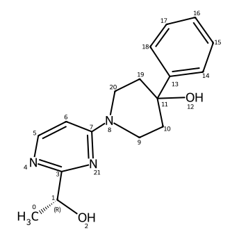 C[C@@H](O)c1nccc(N2CCC(O)(c3ccccc3)CC2)n1